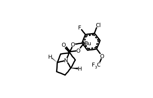 CC(C)(C)OC(=O)N1[C@H]2CC[C@H]1CC(Oc1cc(OC(F)(F)F)cc(Cl)c1F)C2